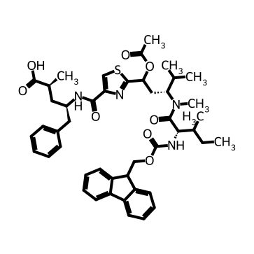 CCC(C)[C@H](NC(=O)OCC1c2ccccc2-c2ccccc21)C(=O)N(C)[C@H](CC(OC(C)=O)c1nc(C(=O)N[C@@H](Cc2ccccc2)C[C@H](C)C(=O)O)cs1)C(C)C